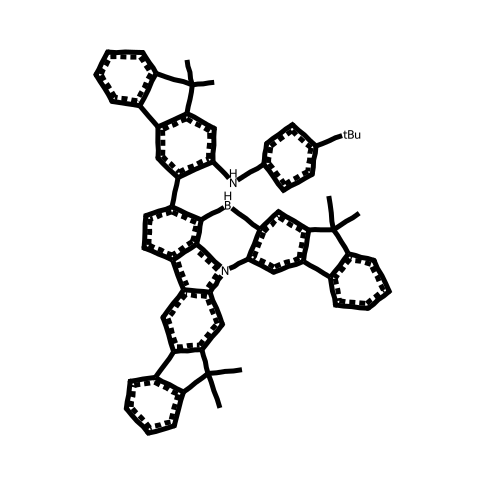 CC(C)(C)c1ccc(Nc2cc3c(cc2-c2ccc4c5cc6c(cc5n5c4c2Bc2cc4c(cc2-5)-c2ccccc2C4(C)C)C(C)(C)c2ccccc2-6)-c2ccccc2C3(C)C)cc1